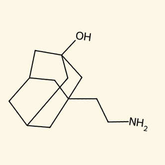 NCCC12CC3CC(CC(O)(C3)C1)C2